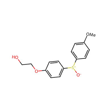 COc1ccc([S+]([O-])c2ccc(OCCO)cc2)cc1